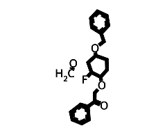 C=O.O=C(COC1CCC(OCc2ccccc2)CC1F)c1ccccc1